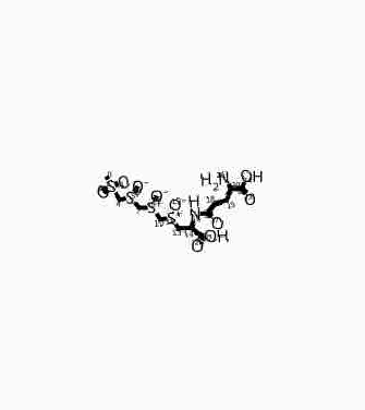 CS(=O)(=O)C[S+]([O-])C[S+]([O-])C[S+]([O-])CC(NC(=O)CCC(N)C(=O)O)C(=O)O